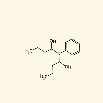 CCCC(O)N(c1ccccc1)C(O)CCC